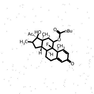 CCCCC(=O)OC1C[C@@]2(C)[C@@H](CC(C)[C@]2(O)C(C)=O)[C@@H]2CCC3=CC(=O)C=C[C@]3(C)[C@@]12F